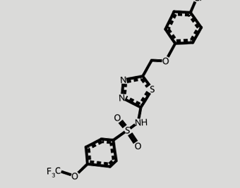 O=S(=O)(Nc1nnc(COc2ccc(Cl)cc2)s1)c1ccc(OC(F)(F)F)cc1